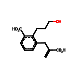 C=C(Cc1cccc(C(=O)O)c1CCCO)C(=O)O